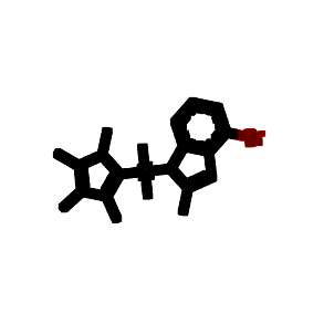 CC1=Cc2c(Br)cccc2C1[Si](C)(C)C1=C(C)C(C)=C(C)C1C